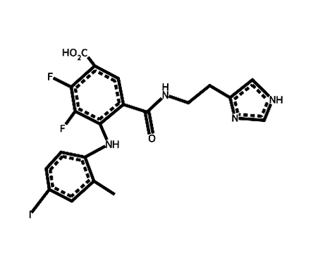 Cc1cc(I)ccc1Nc1c(C(=O)NCCc2c[nH]cn2)cc(C(=O)O)c(F)c1F